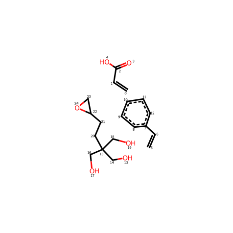 C=CC(=O)O.C=Cc1ccccc1.OCC(CO)(CO)CCC1CO1